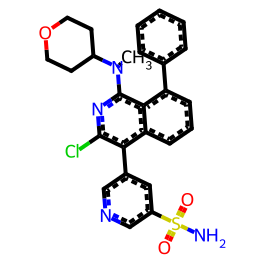 CN(c1nc(Cl)c(-c2cncc(S(N)(=O)=O)c2)c2cccc(-c3ccccc3)c12)C1CCOCC1